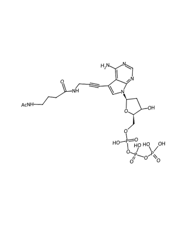 CC(=O)NCCCC(=O)NCC#Cc1cn([C@H]2CC(O)[C@@H](COP(=O)(O)OP(=O)(O)OP(=O)(O)O)O2)c2ncnc(N)c12